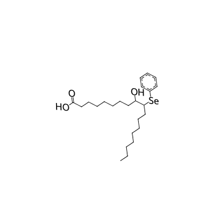 CCCCCCCCC([Se]c1ccccc1)C(O)CCCCCCCC(=O)O